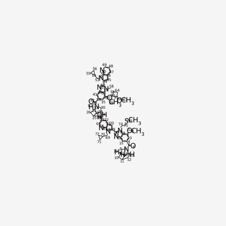 COc1cc(C(=O)N2C[C@H]3CC4C[C@@H]2[C@H]43)cc2nc(-c3cc4cc(C5C6C[C@@H]7[C@H]6[C@H]5CN7C(=O)c5cc(OC)c6c(c5)nc(-c5cc7cccnc7n5CC5CC5)n6C[C@H]5C[C@@H](OC)C5)cnc4n3CC3CC3)n(CCSC)c12